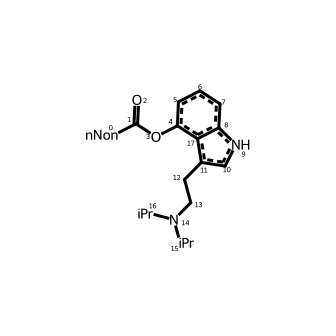 CCCCCCCCCC(=O)Oc1cccc2[nH]cc(CCN(C(C)C)C(C)C)c12